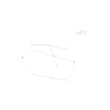 CC[CH]C1C2CC3CC(C2)CC1C3